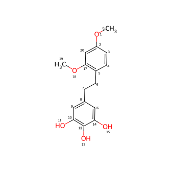 COc1ccc(CCc2cc(O)c(O)c(O)c2)c(OC)c1